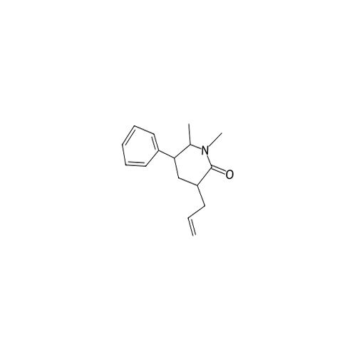 C=CCC1CC(c2ccccc2)C(C)N(C)C1=O